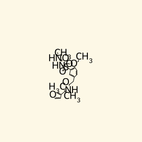 CCOc1ccc(CC(=O)NC(C)(C)c2ccoc2)cc1S(=O)(=O)NC(=O)NC